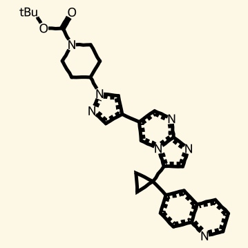 CC(C)(C)OC(=O)N1CCC(n2cc(-c3cnc4ncc(C5(c6ccc7ncccc7c6)CC5)n4c3)cn2)CC1